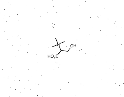 C[N+](C)(C)[C@@H](CO)C(=O)O